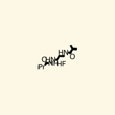 C=C(C)C(=O)NCCCNNC(=O)C(C)C.F